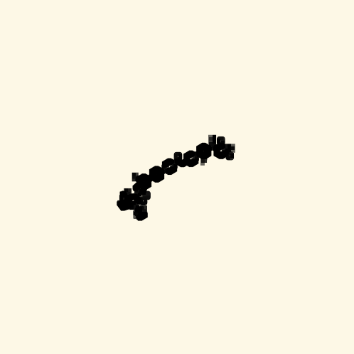 O=C1CCC(Nc2ccc(N3CCC(CC(=O)N4CCN(c5ccc(-c6cc(F)c7c(c6)C(=O)N(C(C(=O)Nc6nccs6)c6ncn8c6CCC8)C7)cc5)CC4)CC3)c(F)c2)C(=O)N1